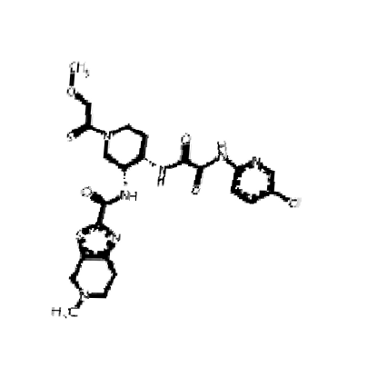 COCC(=S)N1CC[C@H](NC(=O)C(=O)Nc2ccc(Cl)cn2)[C@H](NC(=O)c2nc3c(s2)CN(C)CC3)C1